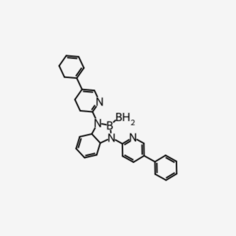 BB1N(C2=NC=C(C3=CC=CCC3)CC2)C2C=CC=CC2N1c1ccc(-c2ccccc2)cn1